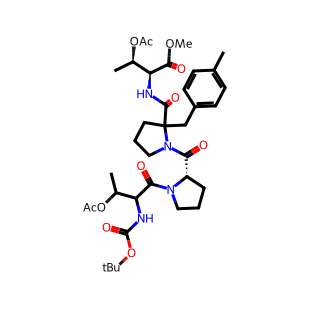 COC(=O)[C@@H](NC(=O)C1(Cc2ccc(C)cc2)CCCN1C(=O)[C@@H]1CCCN1C(=O)C(NC(=O)OC(C)(C)C)C(C)OC(C)=O)[C@@H](C)OC(C)=O